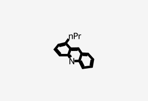 [CH2]CCc1cccc2nc3ccccc3cc12